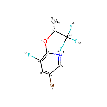 C[C@@H](Oc1ncc(Br)cc1F)C(F)(F)F